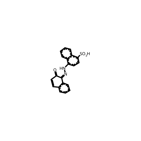 O=C1C=Cc2ccccc2/C1=N/Nc1ccc(S(=O)(=O)O)c2ccccc12